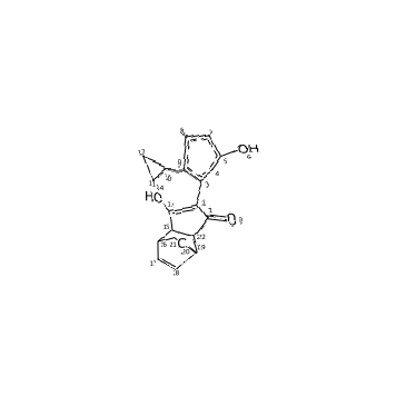 O=C1C(c2cc(O)ccc2C2CC2)=C(O)C2C3C=CC(CC3)C12